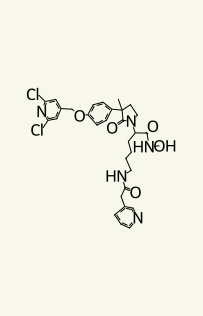 CC1(c2ccc(OCc3cc(Cl)nc(Cl)c3)cc2)CCN(C(CCCCNC(=O)Cc2cccnc2)C(=O)NO)C1=O